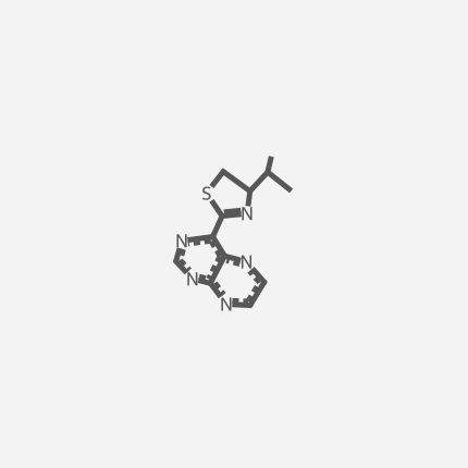 CC(C)C1CSC(c2ncnc3nccnc23)=N1